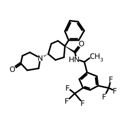 CC(NC(=O)[C@]1(c2ccccc2)CC[C@@H](N2CCC(=O)CC2)CC1)c1cc(C(F)(F)F)cc(C(F)(F)F)c1